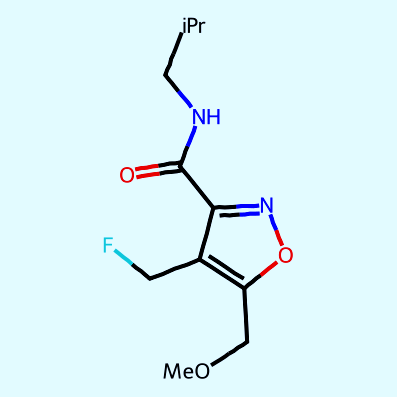 COCc1onc(C(=O)NCC(C)C)c1CF